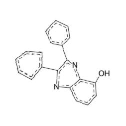 Oc1cccc2nc(-c3ccccc3)c(-c3ccccc3)nc12